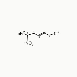 CCCC(CC=CCCl)[N+](=O)[O-]